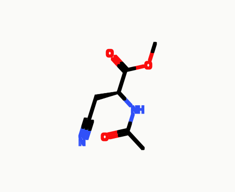 COC(=O)[C@H](CC#N)NC(C)=O